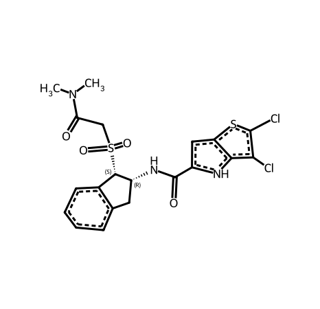 CN(C)C(=O)CS(=O)(=O)[C@H]1c2ccccc2C[C@H]1NC(=O)c1cc2sc(Cl)c(Cl)c2[nH]1